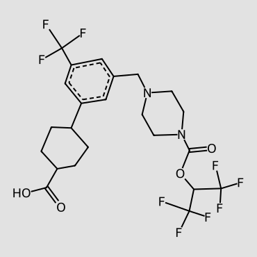 O=C(O)C1CCC(c2cc(CN3CCN(C(=O)OC(C(F)(F)F)C(F)(F)F)CC3)cc(C(F)(F)F)c2)CC1